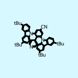 CC(C)(C)c1ccc2c(c1)c1cc(C(C)(C)C)ccc1n2-c1cc(C#N)cc(-n2c3ccc(C(C)(C)C)cc3c3cc(C(C)(C)C)ccc32)c1-c1ccncc1